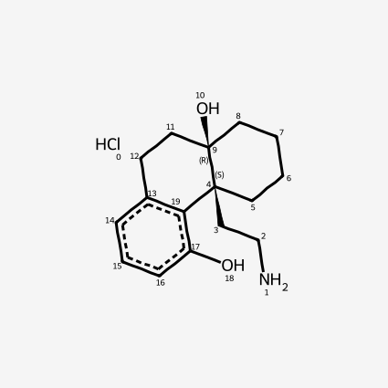 Cl.NCC[C@]12CCCC[C@@]1(O)CCc1cccc(O)c12